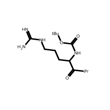 CC(C)C(=O)C(CCCNC(=N)N)NC(=O)OC(C)(C)C